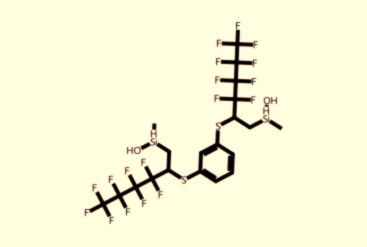 C[SiH](O)CC(Sc1cccc(SC(C[SiH](C)O)C(F)(F)C(F)(F)C(F)(F)C(F)(F)F)c1)C(F)(F)C(F)(F)C(F)(F)C(F)(F)F